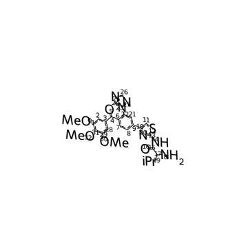 COc1cc(C(=O)c2ccc(-c3csc(NC(=O)C(N)C(C)C)n3)cc2-n2cncn2)cc(OC)c1OC